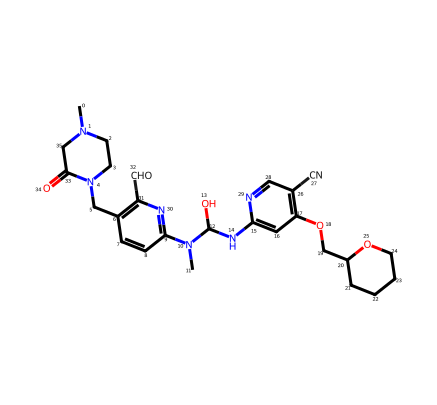 CN1CCN(Cc2ccc(N(C)C(O)Nc3cc(OCC4CCCCO4)c(C#N)cn3)nc2C=O)C(=O)C1